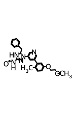 COCCOc1ccc(C)c(-c2cncc(N3N=C(NC=O)NC3Cc3ccccc3)c2)c1